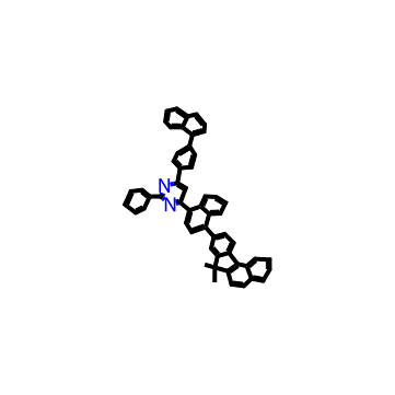 CC1(C)c2cc(-c3ccc(-c4cc(-c5ccc(-c6cccc7ccccc67)cc5)nc(-c5ccccc5)n4)c4ccccc34)ccc2-c2c1ccc1ccccc21